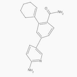 NC(=O)c1ccc(-c2ccc(N)nc2)cc1C1=CCCCC1